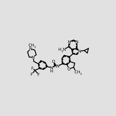 CC1Cc2c(-c3cn(C4CC4)c4ncnc(N)c34)ccc(NC(=O)Nc3ccc(CN4CCN(C)CC4)c(C(F)(F)F)c3)c2O1